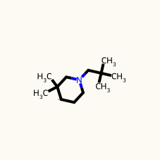 CC(C)(C)CN1CC[CH]C(C)(C)C1